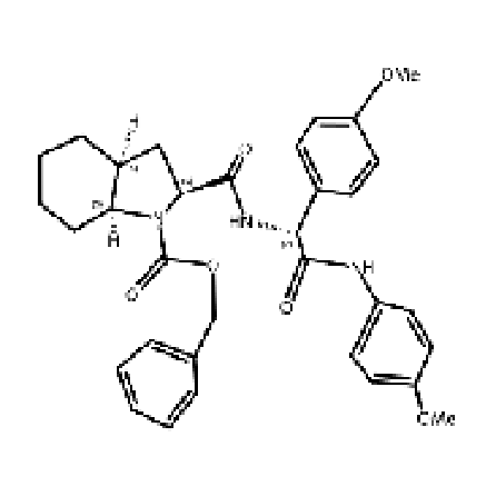 COc1ccc(NC(=O)[C@H](NC(=O)[C@@H]2C[C@@H]3CCCC[C@@H]3N2C(=O)OCc2ccccc2)c2ccc(OC)cc2)cc1